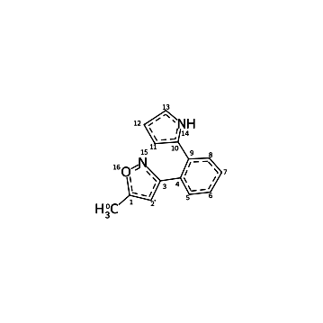 Cc1[c]c(-c2ccccc2-c2ccc[nH]2)no1